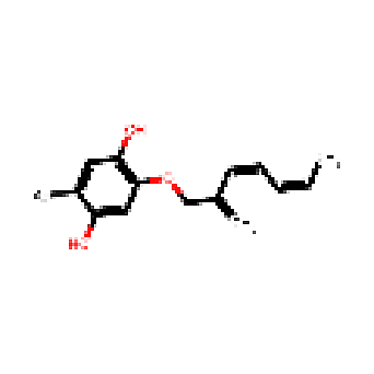 C=C(/C=C\C=C/C)COc1cc(O)c(C(C)=O)cc1O